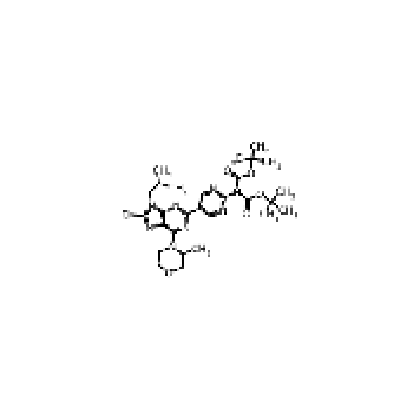 CC(C)Cn1c(Cl)nc2c(N3CCOC[C@@H]3C)nc(-c3cnc(N(C(=O)OC(C)(C)C)C(=O)OC(C)(C)C)nc3)nc21